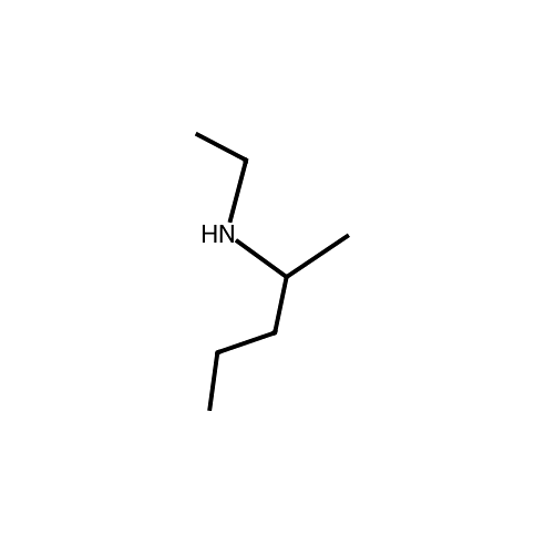 CCCC(C)NCC